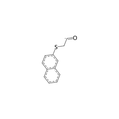 O=[C]CSc1ccc2ccccc2c1